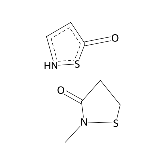 CN1SCCC1=O.O=c1cc[nH]s1